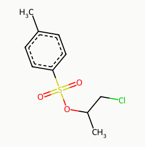 Cc1ccc(S(=O)(=O)OC(C)CCl)cc1